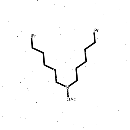 CC(=O)ON(CCCCCC(C)C)CCCCCC(C)C